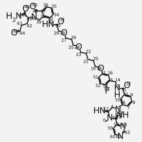 CN(C(=N)CNc1cccc(C(=O)NCc2cc(OCCCCCOCCCOCC(=O)Nc3cccc4c3CN(C(CCC=O)C(N)=O)C4=O)ccc2F)c1)C(=N)c1ccncn1